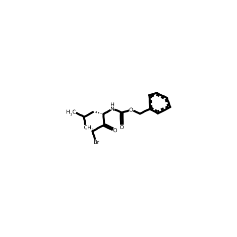 CC(C)C[C@H](NC(=O)OCc1ccccc1)C(=O)CBr